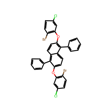 Clc1ccc(Br)c(Oc2ccc3c(-c4ccccc4)c(Oc4cc(Cl)ccc4Br)ccc3c2-c2ccccc2)c1